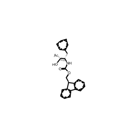 CC(=O)[C@@H](O)[C@H](Cc1ccccc1)NC(=O)OCC1c2ccccc2-c2ccccc21